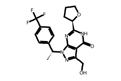 C[C@H](c1ccc(C(F)(F)F)cc1)n1nc(CO)c2c(=O)[nH]c([C@H]3CCCO3)nc21